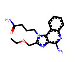 CCOCc1nc2c(N)nc3ccccc3c2n1CCCC(N)=O